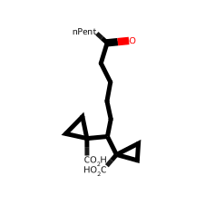 CCCCCC(=O)CCCCC(C1(C(=O)O)CC1)C1(C(=O)O)CC1